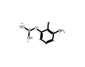 Cc1c(N)cccc1OB(O)O